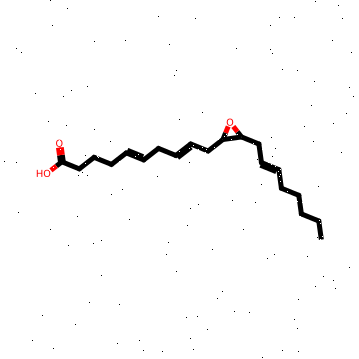 CCCCCC=CCC1OC1CC=CCC=CCCCC(=O)O